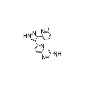 CNc1cnc2ccc(-c3c[nH]nc3-c3cccc(C)n3)nc2c1